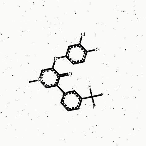 Cn1cc(Oc2ccc(Cl)c(Cl)c2)c(=O)c(-c2cccc(C(F)(F)F)c2)c1